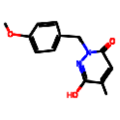 COc1ccc(Cn2nc(O)c(C)cc2=O)cc1